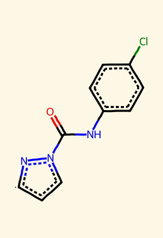 O=C(Nc1ccc(Cl)cc1)n1cc[c]n1